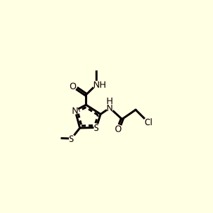 CNC(=O)c1nc(SC)sc1NC(=O)CCl